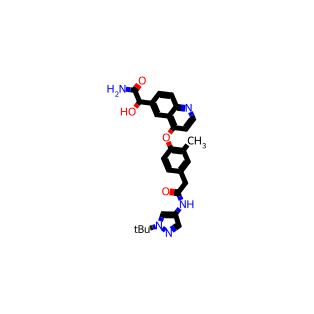 Cc1cc(CC(=O)Nc2cnn(C(C)(C)C)c2)ccc1Oc1ccnc2ccc(C(O)C(N)=O)cc12